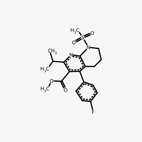 COC(=O)c1c(C(C)C)nc2c(c1-c1ccc(F)cc1)CCCN2S(C)(=O)=O